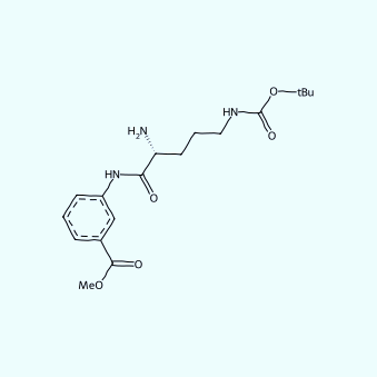 COC(=O)c1cccc(NC(=O)[C@H](N)CCCNC(=O)OC(C)(C)C)c1